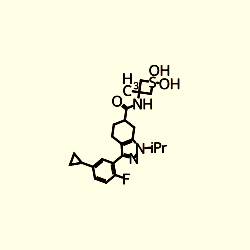 CC(C)n1nc(-c2cc(C3CC3)ccc2F)c2c1CC(C(=O)NC1(C)CS(O)(O)C1)CC2